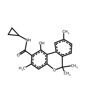 Cc1ccc2c(c1)-c1c(cc(C)c(C(=O)NC3CC3)c1O)OC2(C)C